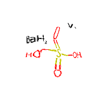 O=S(=O)(O)O.[BaH2].[V]